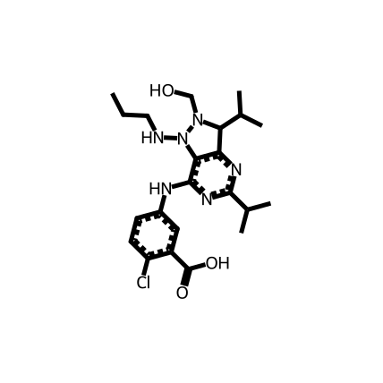 CCCNN1c2c(Nc3ccc(Cl)c(C(=O)O)c3)nc(C(C)C)nc2C(C(C)C)N1CO